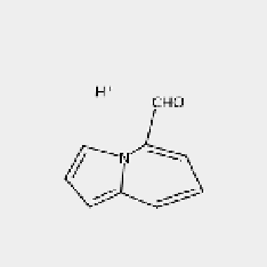 O=Cc1cccc2cccn12.[H+]